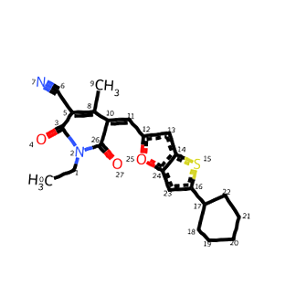 CCN1C(=O)C(C#N)=C(C)/C(=C/c2cc3sc(C4CCCCC4)cc3o2)C1=O